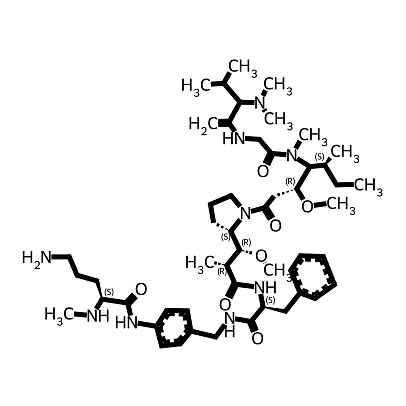 C=C(NCC(=O)N(C)C([C@@H](C)CC)[C@@H](CC(=O)N1CCC[C@H]1[C@H](OC)[C@@H](C)C(=O)N[C@@H](Cc1ccccc1)C(=O)NCc1ccc(NC(=O)[C@H](CCCN)NC)cc1)OC)C(C(C)C)N(C)C